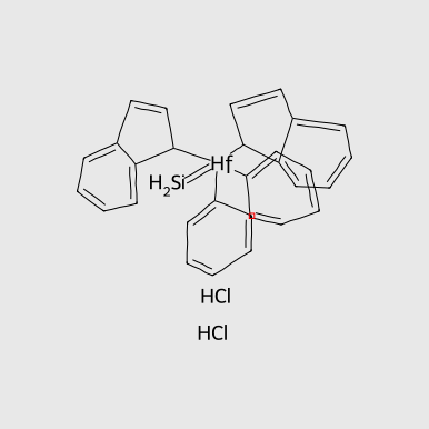 Cl.Cl.[SiH2]=[Hf]([c]1ccccc1)([c]1ccccc1)([CH]1C=Cc2ccccc21)[CH]1C=Cc2ccccc21